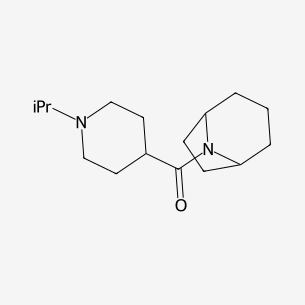 CC(C)N1CCC(C(=O)N2C3CCCC2CC3)CC1